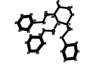 CC1OC[C@@H](OCc2ccccc2)[C@H](OCc2ccccc2)[C@H]1OCc1ccccc1